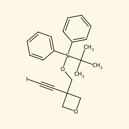 CC(C)(C)[Si](OCC1(C#CI)COC1)(c1ccccc1)c1ccccc1